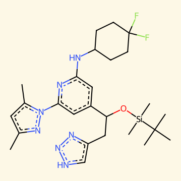 Cc1cc(C)n(-c2cc(C(Cc3c[nH]nn3)O[Si](C)(C)C(C)(C)C)cc(NC3CCC(F)(F)CC3)n2)n1